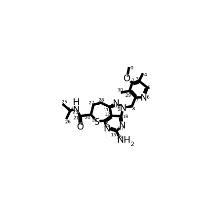 COc1c(C)cnc(Cn2nc3c4c(nc(N)nc42)SC(C(=O)NC(C)C)CC3)c1C